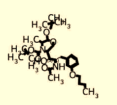 CCCCOc1cccc(C[C@H](NC(C)=O)[C@H](O)C2COC(OCC(C)(C)C)C(C)N2C(=O)OC(C)(C)C)c1